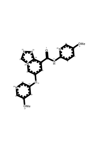 COc1ccc(NC(=O)c2cc(Oc3cncc(OC)c3)cn3cnnc23)nc1